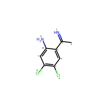 CC(=N)c1cc(Cl)c(Cl)cc1N